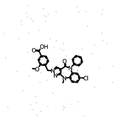 COc1cc(C(=O)O)ccc1Cn1cc2c(n1)N(C)c1ccc(Cl)cc1N(c1ccccc1)C2=O